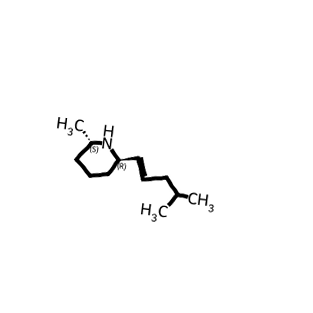 CC(C)CC=C[C@H]1CCC[C@H](C)N1